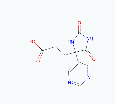 O=C(O)CCC1(c2cncnc2)NC(=O)NC1=O